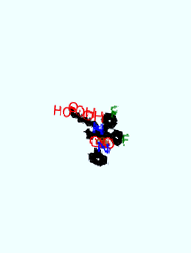 CC(C)c1c(S(=O)(=O)N(C)Cc2ccccc2)c(-c2ccc(F)cc2)c(-c2ccc(F)cc2)n1CC[C@@H](O)C[C@@H](O)CC(=O)O